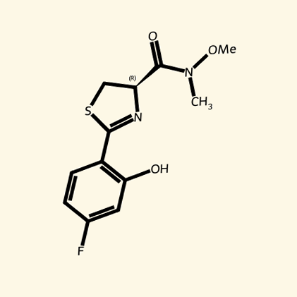 CON(C)C(=O)[C@@H]1CSC(c2ccc(F)cc2O)=N1